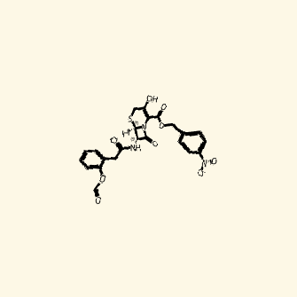 O=COc1ccccc1CC(=O)N[C@H]1C(=O)N2C(C(=O)OCc3ccc([N+](=O)[O-])cc3)=C(O)CS[C@H]12